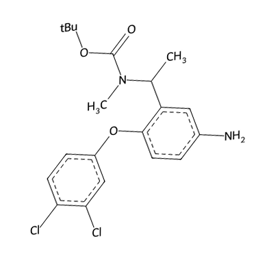 CC(c1cc(N)ccc1Oc1ccc(Cl)c(Cl)c1)N(C)C(=O)OC(C)(C)C